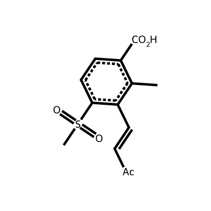 CC(=O)C=Cc1c(S(C)(=O)=O)ccc(C(=O)O)c1C